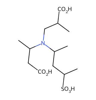 CC(CN(C(C)CC(=O)O)C(C)CC(C)S(=O)(=O)O)C(=O)O